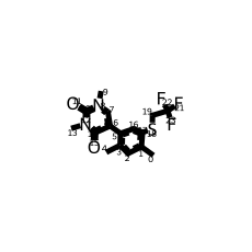 Cc1cc(C)c(-c2cn(C)c(=O)n(C)c2=O)cc1SCC(F)(F)F